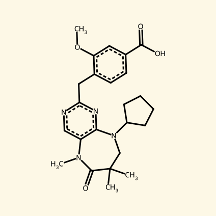 COc1cc(C(=O)O)ccc1Cc1ncc2c(n1)N(C1CCCC1)CC(C)(C)C(=O)N2C